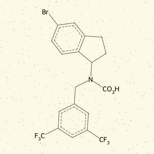 O=C(O)N(Cc1cc(C(F)(F)F)cc(C(F)(F)F)c1)C1CCc2cc(Br)ccc21